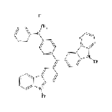 CCn1c2ccccc2c2cc(C(c3ccc(N(C)c4ccccc4)cc3)=c3ccc4c(c3)-c3ccccc3[N+]=4CC)ccc21.[I-]